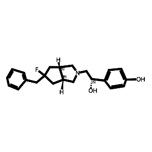 Oc1ccc([C@H](O)CN2C[C@@H]3CC(F)(Cc4ccccc4)C[C@@H]3C2)cc1